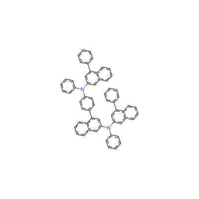 c1ccc(-c2cc(N(c3ccccc3)c3ccc(-c4cc(N(c5ccccc5)c5cc(-c6ccccc6)c6ccccc6c5)cc5ccccc45)cc3)cc3ccccc23)cc1